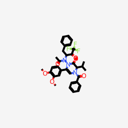 COc1ccc(C2=CN(C(=O)c3ccccc3)C(C(C)C)C(=O)N2N(C(C)=O)C(Cc2ccccc2)C(=O)C(F)(F)F)cc1OC